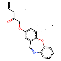 C=CCC(=O)COc1ccc2c(c1)C=Nc1ccccc1O2